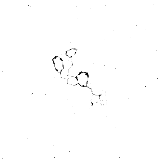 O=C1NC(=O)C(Cc2ccc3c(c2)CCC(Cc2ccccc2)N3CCc2ccccc2)S1